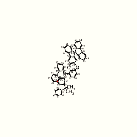 CC1(C)c2ccccc2-c2ccc(N(c3ccccc3-c3ccccc3)c3cccc4c3Oc3cc5c(cc3O4)C3(c4ccccc4-c4ccccc43)c3ccccc3-5)cc21